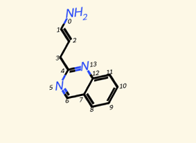 NC=CCc1ncc2ccccc2n1